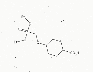 CCOP(=O)(COC1CCC(C(=O)O)CC1)OCC